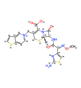 CON=C(C(=O)NC1C(=O)N2C(C(=O)[O-])=C(C[n+]3ccc4sccc4c3)CS[C@@H]12)c1csc(N)n1